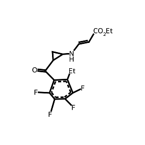 CCOC(=O)C=CNC1CC1C(=O)c1c(F)c(F)c(F)c(F)c1CC